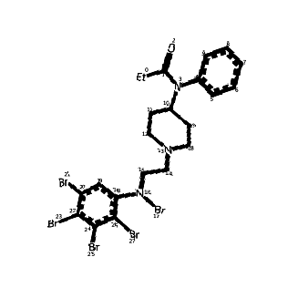 CCC(=O)N(c1ccccc1)C1CCN(CCN(Br)c2cc(Br)c(Br)c(Br)c2Br)CC1